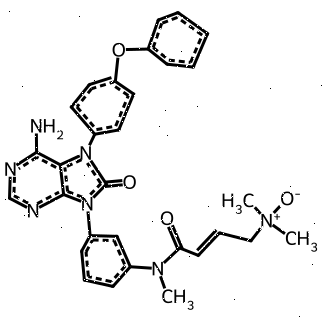 CN(C(=O)/C=C/C[N+](C)(C)[O-])c1cccc(-n2c(=O)n(-c3ccc(Oc4ccccc4)cc3)c3c(N)ncnc32)c1